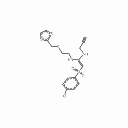 C#CCNC(=CS(=O)(=O)c1ccc(Cl)cc1)NCCSCc1nccs1